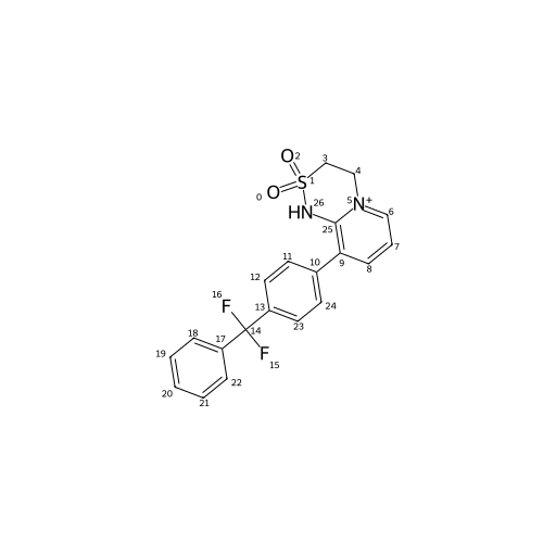 O=S1(=O)CC[n+]2cccc(-c3ccc(C(F)(F)c4ccccc4)cc3)c2N1